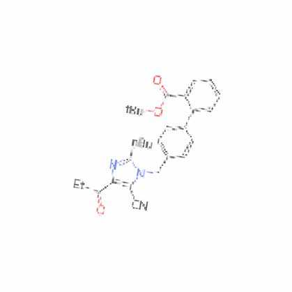 CCCCc1nc(C(=O)CC)c(C#N)n1Cc1ccc(-c2ccccc2C(=O)OC(C)(C)C)cc1